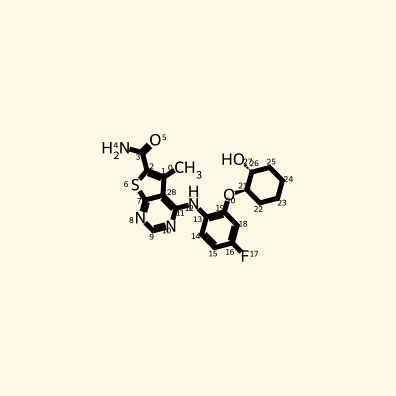 Cc1c(C(N)=O)sc2ncnc(Nc3ccc(F)cc3O[C@@H]3CCCC[C@H]3O)c12